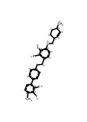 Cc1ccc(-c2ccc(CCc3ccc(OCC4C=CC(C)CC4)c(F)c3F)cc2)c(F)c1F